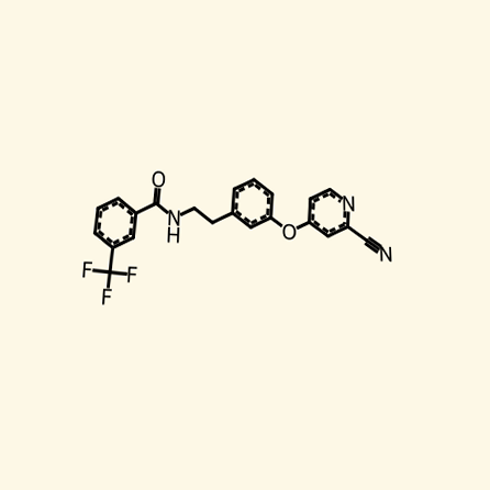 N#Cc1cc(Oc2cccc(CCNC(=O)c3cccc(C(F)(F)F)c3)c2)ccn1